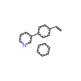 C=Cc1ccc(-c2cccnc2)cc1.c1ccccc1